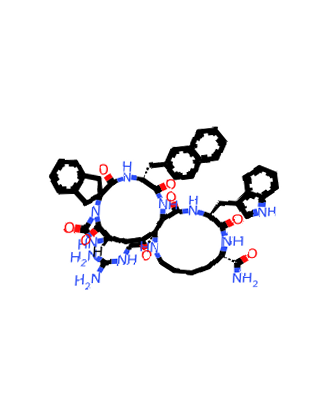 NC(=O)[C@@H]1CCCCN[C@@]2(CCNC(N)N)C(=O)C[C@@H]3NC(=O)N(C3=O)C3(Cc4ccccc4C3)C(=O)N[C@H](Cc3ccc4ccccc4c3)C(=O)NC2C(=O)N[C@@H](Cc2c[nH]c3ccccc23)C(=O)N1